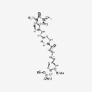 CCO[C@H](OC)Oc1ccc(/C=C/C=C/C(=O)N2CCN(CCn3cnc4c3c(=O)n(C)c(=O)n4C)CC2)cc1OC